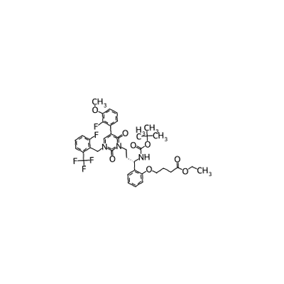 CCOC(=O)CCCOc1ccccc1[C@H](CCn1c(=O)c(-c2cccc(OC)c2F)cn(Cc2c(F)cccc2C(F)(F)F)c1=O)NC(=O)OC(C)(C)C